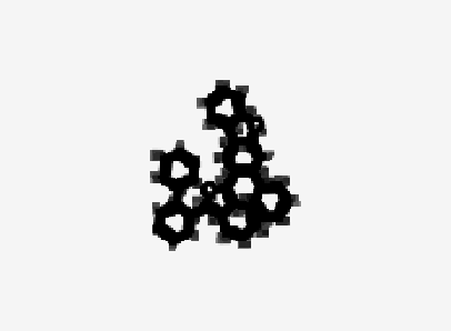 c1ccc(-c2ccccc2-c2oc(-c3cc4c(cc3-c3ccccc3)oc3ccccc34)c3ccccc23)cc1